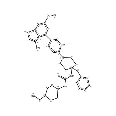 CCOc1cc(-c2ccc(N3CCC(Cc4ccccc4)(NC(=O)CN4CCC(CO)CC4)CC3)nc2)c2c(C#N)cnn2c1